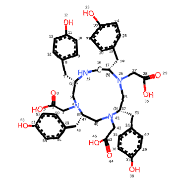 O=C(O)CN1C[C@H](Cc2ccc(O)cc2)NC[C@H](Cc2ccc(O)cc2)N(CC(=O)O)C[C@H](Cc2ccc(O)cc2)N(CC(=O)O)C[C@@H]1Cc1ccc(O)cc1